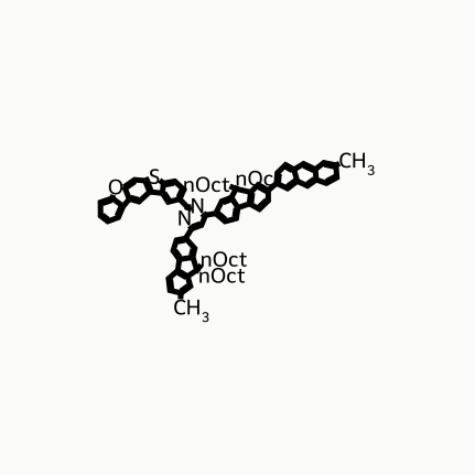 CCCCCCCCC1(CCCCCCCC)c2cc(C)ccc2-c2ccc(-c3cc(-c4ccc5c(c4)C(CCCCCCCC)(CCCCCCCC)c4cc(-c6ccc7cc8cc(C)ccc8cc7c6)ccc4-5)nc(-c4ccc5sc6cc7oc8ccccc8c7cc6c5c4)n3)cc21